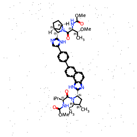 COC(=O)N[C@H](C(=O)N1[C@H](C)[C@H](C)C[C@H]1c1nc2ccc3cc(-c4ccc(-c5cnc([C@@H]6[C@H]7CC[C@H](C7)N6C(=O)[C@@H](NC(=O)OC)[C@@H](C)OC)[nH]5)cc4)ccc3c2[nH]1)C(C)C